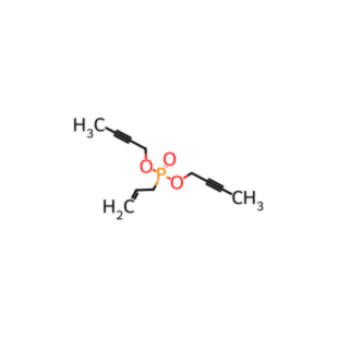 C=CCP(=O)(OCC#CC)OCC#CC